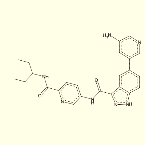 CCC(CC)NC(=O)c1ccc(NC(=O)c2n[nH]c3ccc(-c4cncc(N)c4)cc23)cn1